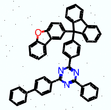 c1ccc(-c2ccc(-c3nc(-c4ccccc4)nc(-c4ccc(C5(c6ccc7oc8ccccc8c7c6)c6ccccc6-c6ccccc65)cc4)n3)cc2)cc1